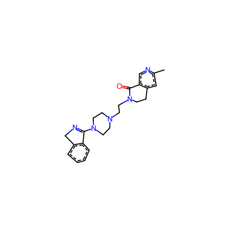 Cc1cc2c(cn1)C(=O)N(CCN1CCN(C3=NCc4ccccc43)CC1)CC2